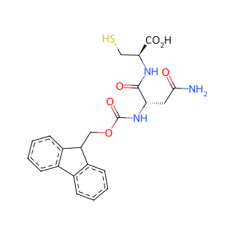 NC(=O)C[C@H](NC(=O)OCC1c2ccccc2-c2ccccc21)C(=O)N[C@@H](CS)C(=O)O